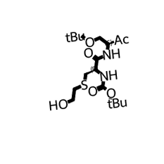 CC(=O)[C@H](COC(C)(C)C)NC(=O)[C@H](CSCCO)NC(=O)OC(C)(C)C